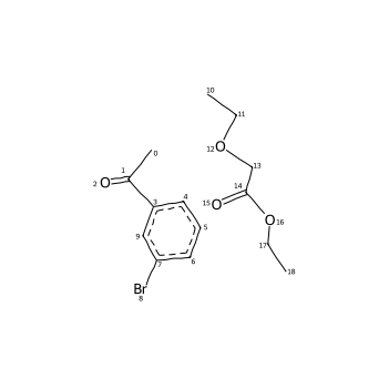 CC(=O)c1cccc(Br)c1.CCOCC(=O)OCC